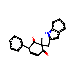 CC1(Cc2cc3ccccc3[nH]2)C(=O)C=CC(c2ccccc2)C1=O